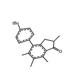 Cc1c(C)c2c(c(-c3ccc(C(C)(C)C)cc3)c1C)CC(C)C2=O